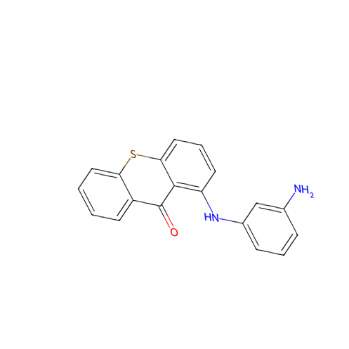 Nc1cccc(Nc2cccc3sc4ccccc4c(=O)c23)c1